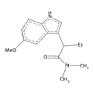 CCC(C(=O)N(C)C)c1c[nH]c2ccc(OC)cc12